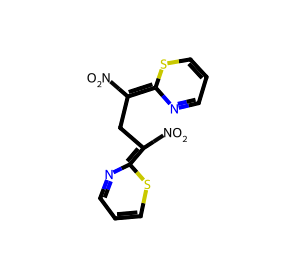 O=[N+]([O-])C(CC(=C1N=CC=CS1)[N+](=O)[O-])=C1N=CC=CS1